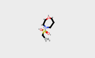 CCS(=O)(=O)N1CCCOCC1